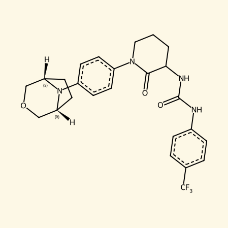 O=C(Nc1ccc(C(F)(F)F)cc1)NC1CCCN(c2ccc(N3[C@@H]4CC[C@H]3COC4)cc2)C1=O